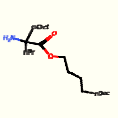 CCCCCCCCCCCCCCOC(=O)C(N)(CCC)CCCCCCCC